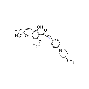 COc1cc2c(c(O)c1C(=O)/C=C/c1ccc(N3CCN(C)CC3)cc1)C=CC(C)(C)O2